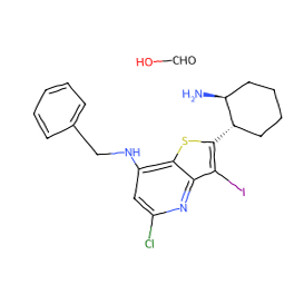 N[C@H]1CCCC[C@@H]1c1sc2c(NCc3ccccc3)cc(Cl)nc2c1I.O=CO